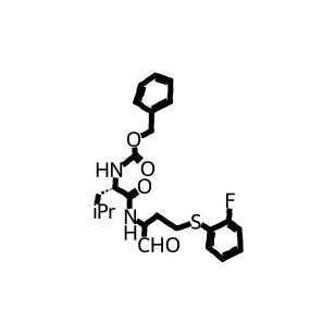 CC(C)C[C@H](NC(=O)OCc1ccccc1)C(=O)NC(C=O)CCSc1ccccc1F